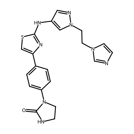 O=C1NCCN1c1ccc(-c2csc(Nc3cnn(CCn4ccnc4)c3)n2)cc1